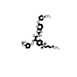 COCCCS(=O)(=O)c1ccc(/C(=N\O[C@@H]2CC[C@@H](OC)C2)C(=O)Nc2nc3ccc(O[C@@H]4CCN(C)C4)nc3s2)cc1